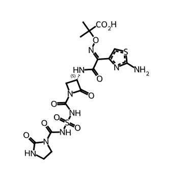 CC(C)(ON=C(C(=O)N[C@H]1CN(C(=O)NS(=O)(=O)NC(=O)N2CCNC2=O)C1=O)c1csc(N)n1)C(=O)O